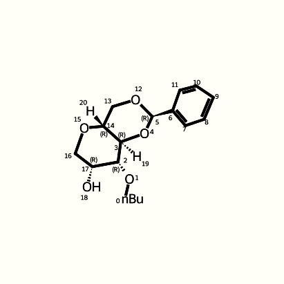 CCCCO[C@H]1[C@@H]2O[C@H](c3ccccc3)OC[C@H]2OC[C@H]1O